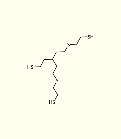 SCCSCCC(CCS)CCSCCS